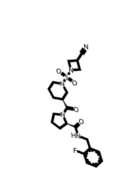 N#CC1CN(S(=O)(=O)N2CCC[C@H](C(=O)N3CCC[C@@H]3C(=O)NCc3ccccc3F)C2)C1